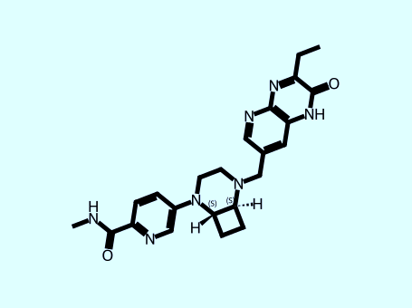 CCc1nc2ncc(CN3CCN(c4ccc(C(=O)NC)nc4)[C@H]4CC[C@@H]43)cc2[nH]c1=O